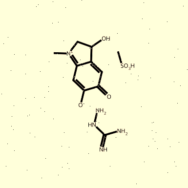 CS(=O)(=O)O.C[N+]1=C2C=C([O-])C(=O)C=C2C(O)C1.N=C(N)NN